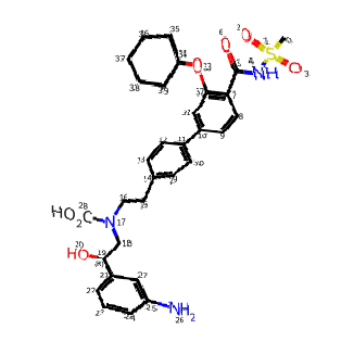 CS(=O)(=O)NC(=O)c1ccc(-c2ccc(CCN(C[C@H](O)c3cccc(N)c3)C(=O)O)cc2)cc1OC1CCCCC1